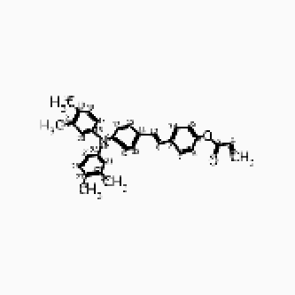 C=CC(=O)Oc1ccc(C=Cc2ccc(N(c3ccc(C)c(C)c3)c3ccc(C)c(C)c3)cc2)cc1